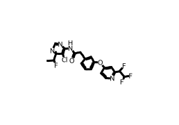 CC(F)c1ncnc(NC(=O)Cc2cccc(Oc3ccnc(C(F)C(F)F)c3)c2)c1Cl